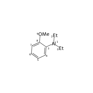 C[CH2][Al]([CH2]C)[c]1ccccc1OC